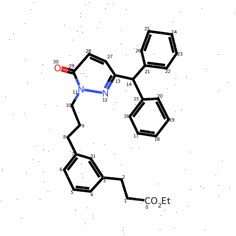 CCOC(=O)CCc1cccc(CCCn2nc(C(c3ccccc3)c3ccccc3)ccc2=O)c1